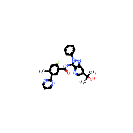 CC(C)(O)c1cnc2c(NC(=O)c3cc(-c4ncccn4)c(C(F)(F)F)cc3F)n(-c3ccccc3)nc2c1